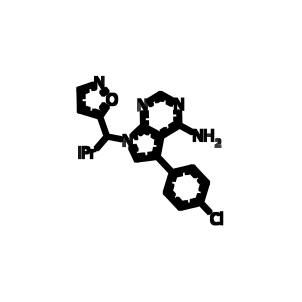 CC(C)C(c1ccno1)n1cc(-c2ccc(Cl)cc2)c2c(N)ncnc21